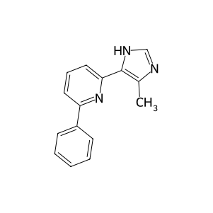 Cc1nc[nH]c1-c1cccc(-c2ccccc2)n1